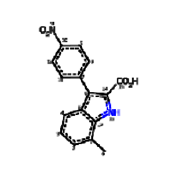 Cc1cccc2c(-c3ccc([N+](=O)[O-])cc3)c(C(=O)O)[nH]c12